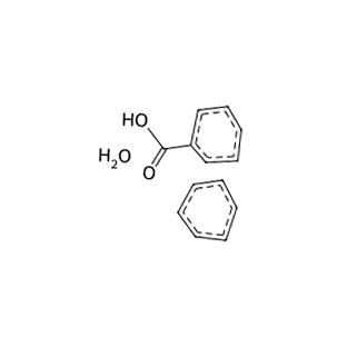 O.O=C(O)c1ccccc1.c1ccccc1